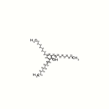 CCCCCCCCCc1cc(CSCCCCCCCC)c(O)c(CSCCCCCCCC)c1